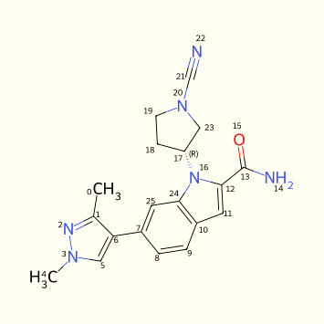 Cc1nn(C)cc1-c1ccc2cc(C(N)=O)n([C@@H]3CCN(C#N)C3)c2c1